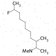 CNC(C)C(C)CCCCCCC(C)F